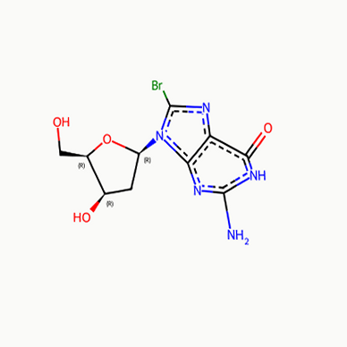 Nc1nc2c(nc(Br)n2[C@H]2C[C@@H](O)[C@@H](CO)O2)c(=O)[nH]1